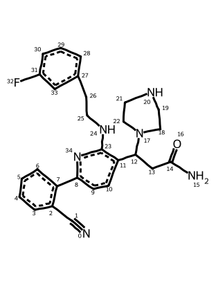 N#Cc1ccccc1-c1ccc(C(CC(N)=O)N2CCNCC2)c(NCCc2cccc(F)c2)n1